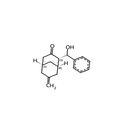 C=C1C[C@H]2CC(=O)[C@H](C(O)c3ccccc3)[C@@H](C1)C2